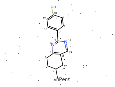 CCCCCC1CCc2nc(-c3ccc(F)cc3)ncc2C1